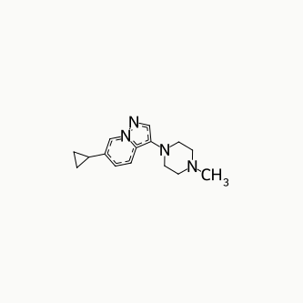 CN1CCN(c2cnn3cc(C4CC4)ccc23)CC1